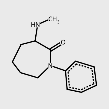 CNC1CCCCN(c2ccccc2)C1=O